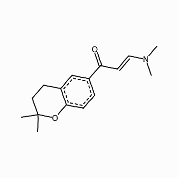 CN(C)/C=C/C(=O)c1ccc2c(c1)CCC(C)(C)O2